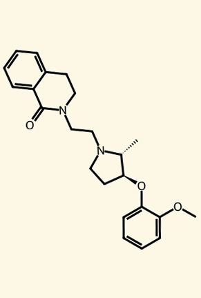 COc1ccccc1O[C@H]1CCN(CCN2CCc3ccccc3C2=O)[C@@H]1C